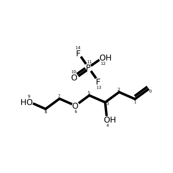 C=CCC(O)COCCO.O=P(O)(F)F